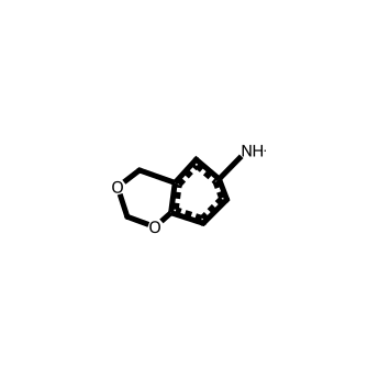 [NH]c1ccc2c(c1)COCO2